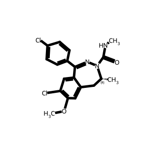 CNC(=O)N1N=C(c2ccc(Cl)cc2)c2cc(Cl)c(OC)cc2C[C@H]1C